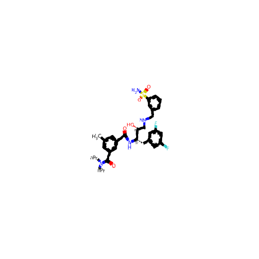 CCCN(CCC)C(=O)c1cc(C)cc(C(=O)N[C@@H](Cc2cc(F)cc(F)c2)[C@H](O)CNCc2cccc(S(N)(=O)=O)c2)c1